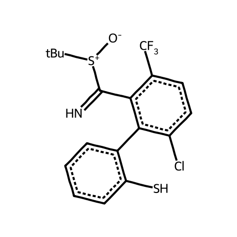 CC(C)(C)[S+]([O-])C(=N)c1c(C(F)(F)F)ccc(Cl)c1-c1ccccc1S